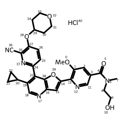 COc1cc(C(=O)N(C)CCO)cnc1-c1cc2ncc(C3CC3)c(-c3ccc(OC4CCOCC4)c(C#N)n3)c2o1.Cl